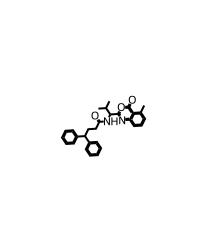 Cc1cccc2nc(C(NC(=O)CCC(c3ccccc3)c3ccccc3)C(C)C)oc(=O)c12